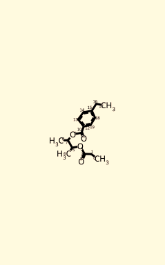 CCC(=O)OC(C)C(C)OC(=O)c1ccc(CC)cc1